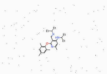 CCC(CC)N=Cc1c(NC(CC)CC)cc(C)nc1Oc1c(C)cc(C)cc1C